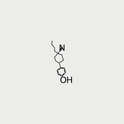 CCCCC1(C#N)CCC(c2ccc(O)cc2)CC1